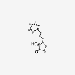 O=C1CCC(CCCc2ccccc2)N1O